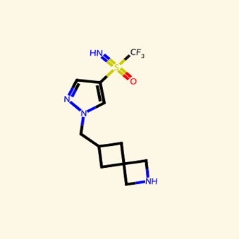 N=S(=O)(c1cnn(CC2CC3(CNC3)C2)c1)C(F)(F)F